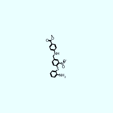 COC(=O)c1ccc(NCc2ccc(Sc3ccccc3N)c([N+](=O)[O-])c2)cc1